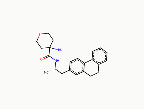 N#C[C@@H](Cc1ccc2c(c1)CCc1ccccc1-2)NC(=O)C1(N)CCOCC1